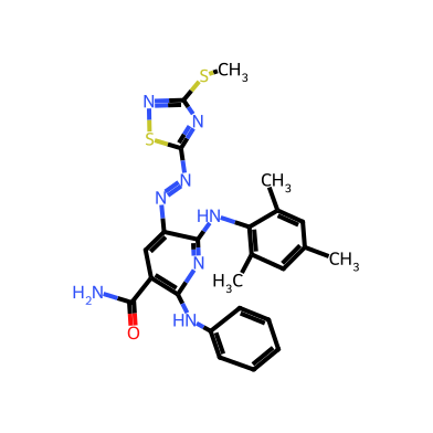 CSc1nsc(N=Nc2cc(C(N)=O)c(Nc3ccccc3)nc2Nc2c(C)cc(C)cc2C)n1